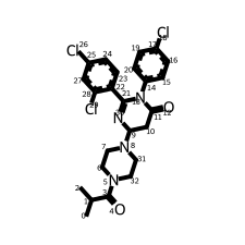 CC(C)C(=O)N1CCN(C2CC(=O)N(c3ccc(Cl)cc3)C(c3ccc(Cl)cc3Cl)=N2)CC1